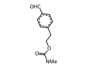 CNC(=O)OCCc1ccc(C=O)cc1